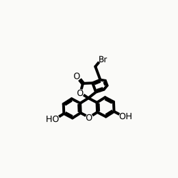 O=C1OC2(c3ccc(O)cc3Oc3cc(O)ccc32)c2cccc(CBr)c21